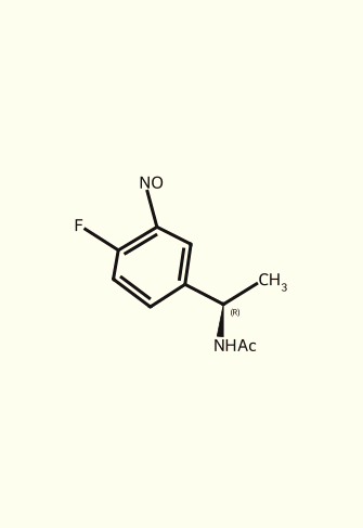 CC(=O)N[C@H](C)c1ccc(F)c(N=O)c1